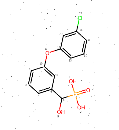 O=P(O)(O)C(O)c1cccc(Oc2cccc(Cl)c2)c1